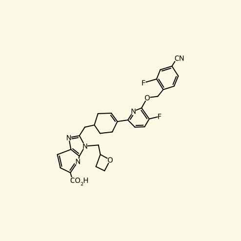 N#Cc1ccc(COc2nc(C3=CCC(Cc4nc5ccc(C(=O)O)nc5n4CC4CCO4)CC3)ccc2F)c(F)c1